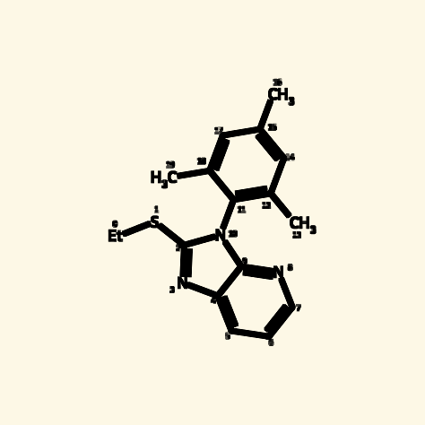 CCSc1nc2cccnc2n1-c1c(C)cc(C)cc1C